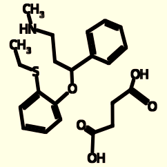 CCSc1ccccc1OC(CCNC)c1ccccc1.O=C(O)CCC(=O)O